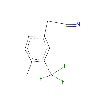 Cc1ccc(CC#N)cc1C(F)(F)F